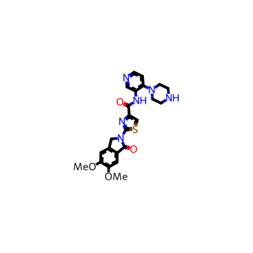 COc1cc2c(cc1OC)C(=O)N(c1nc(C(=O)Nc3cnccc3N3CCNCC3)cs1)C2